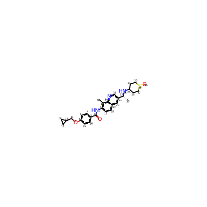 Cc1c(NC(=O)c2ccc(OCC3CC3)cc2)ccc2cc([C@@H](C)NC3CC[S+]([O-])CC3)cnc12